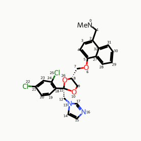 CNCc1ccc(OC[C@@H]2CO[C@@](Cn3ccnc3)(c3ccc(Cl)cc3Cl)O2)c2ccccc12